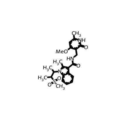 COc1cc(C)[nH]c(=O)c1CNC(=O)c1c(C)n(C(C)C(C)S(C)(=O)=O)c2ccccc12